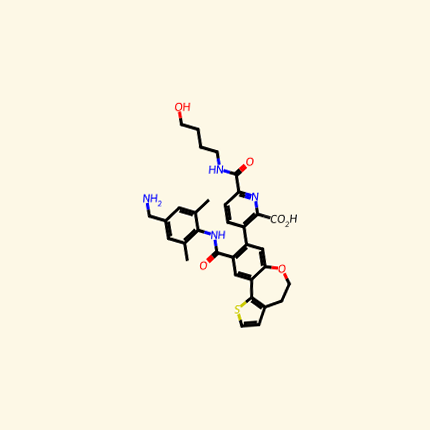 Cc1cc(CN)cc(C)c1NC(=O)c1cc2c(cc1-c1ccc(C(=O)NCCCCO)nc1C(=O)O)OCCc1ccsc1-2